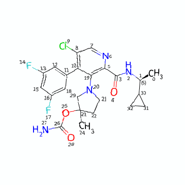 C[C@H](NC(=O)c1ncc(Cl)c(-c2cc(F)cc(F)c2)c1N1CCC(C)(OC(N)=O)C1)C1CC1